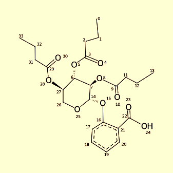 CCCC(=O)O[C@@H]1[C@@H](OC(=O)CCC)[C@H](Oc2ccccc2C(=O)O)OC[C@H]1OC(=O)CCC